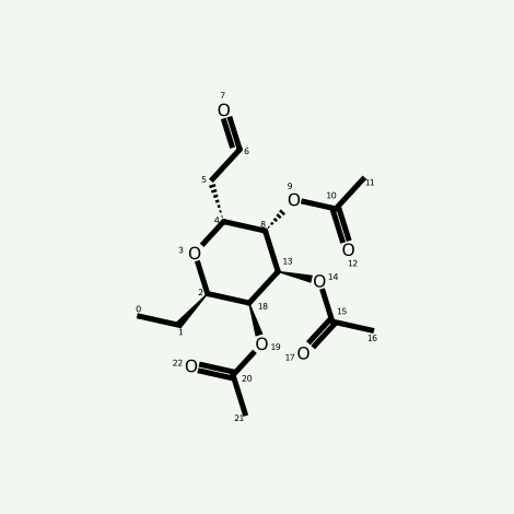 CC[C@H]1O[C@H](CC=O)[C@H](OC(C)=O)[C@@H](OC(C)=O)[C@H]1OC(C)=O